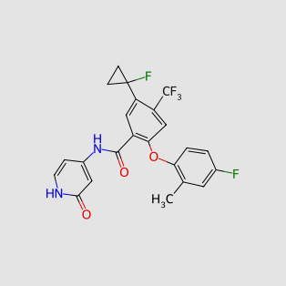 Cc1cc(F)ccc1Oc1cc(C(F)(F)F)c(C2(F)CC2)cc1C(=O)Nc1cc[nH]c(=O)c1